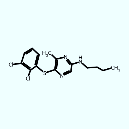 CCCCNc1cnc(Sc2cccc(Cl)c2Cl)c(C)n1